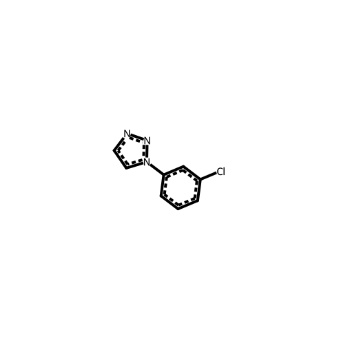 Clc1cccc(-n2ccnn2)c1